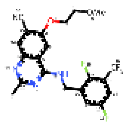 COCCOc1cc2c(NCc3cc(F)cc(C(F)(F)F)c3F)nc(C)nc2cc1C#N